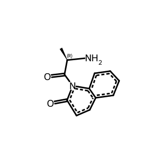 C[C@@H](N)C(=O)n1c(=O)ccc2ccccc21